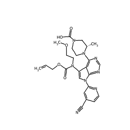 C=CCOC(=O)N(CCOC)c1cn(-c2cc(C#N)ccn2)c2ncnc(N3CCN(C(=O)O)C[C@@H]3C)c12